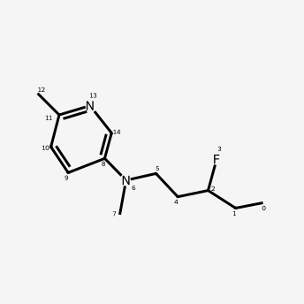 CCC(F)CCN(C)c1ccc(C)nc1